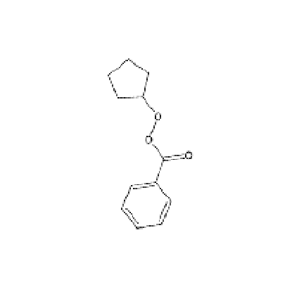 O=C(OOC1CCCC1)c1ccccc1